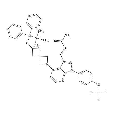 CC(C)(C)[Si](OC1CC2(C1)CN(c1ccnc3c1c(COC(N)=O)nn3-c1ccc(OC(F)(F)F)cc1)C2)(c1ccccc1)c1ccccc1